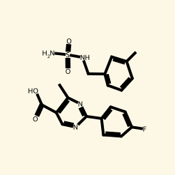 Cc1cccc(CNS(N)(=O)=O)c1.Cc1nc(-c2ccc(F)cc2)ncc1C(=O)O